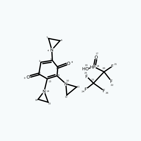 O=C1C=C(N2CC2)C(=O)C(N2CC2)=C1N1CC1.O=[PH](O)C(F)(F)C(F)(F)F